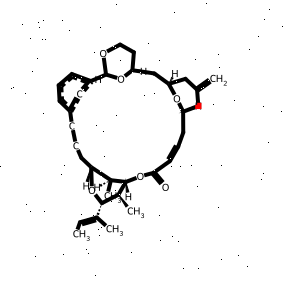 C=C1C[C@@H]2C[C@@H]3CCO[C@@H](O3)c3cccc(c3)CCC[C@H]3O[C@@H](/C(C)=C/C)[C@H](C)[C@@H](OC(=O)/C=C\C[C@@H](C1)O2)[C@H]3C